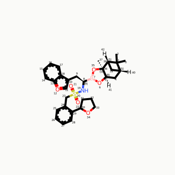 CC1(C)[C@@H]2C[C@H]3OB([C@H](Cc4coc5ccccc45)NS(=O)(=O)Cc4ccccc4C4CCCO4)O[C@@]3(C)[C@H]1C2